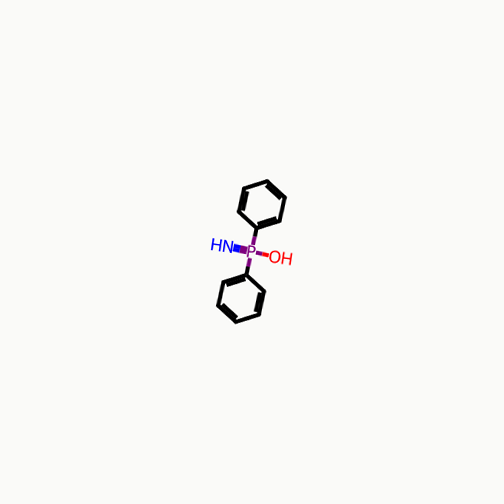 N=P(O)(c1ccccc1)c1ccccc1